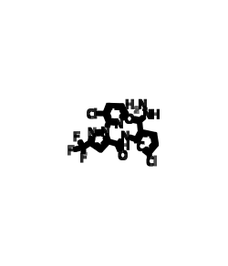 NNC(=O)c1ccc(Cl)cc1NC(=O)c1cc(C(F)(F)F)nn1-c1ncccc1Cl